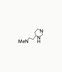 CNCCC1CC[N]CN1